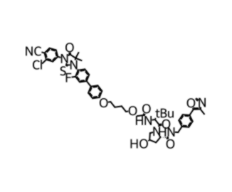 Cc1ncoc1-c1ccc(CNC(=O)[C@@H]2C[C@@H](O)CN2C(=O)[C@@H](NC(=O)COCCCCOc2ccc(-c3ccc(N4C(=S)N(c5ccc(C#N)c(Cl)c5)C(=O)C4(C)C)c(F)c3)cc2)C(C)(C)C)cc1